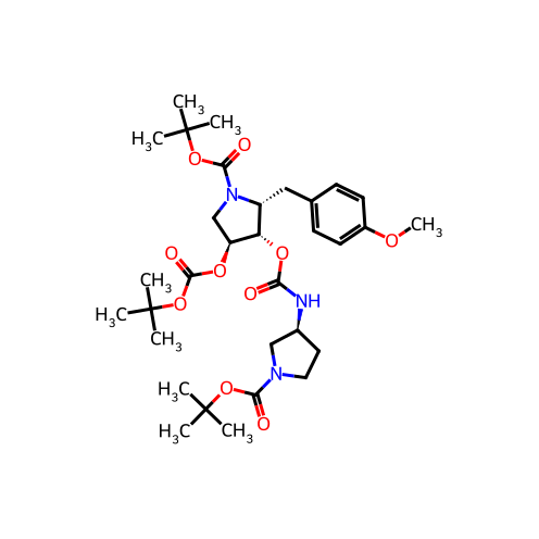 COc1ccc(C[C@@H]2[C@H](OC(=O)N[C@H]3CCN(C(=O)OC(C)(C)C)C3)[C@@H](OC(=O)OC(C)(C)C)CN2C(=O)OC(C)(C)C)cc1